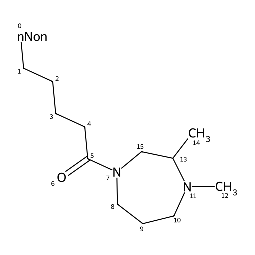 CCCCCCCCCCCCCC(=O)N1CCCN(C)C(C)C1